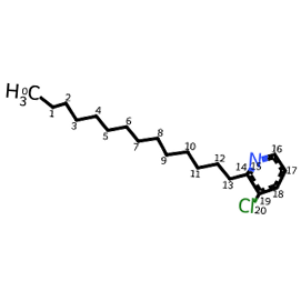 CCCCCCCCCCCCCCc1ncccc1Cl